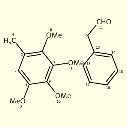 COc1cc(C)c(OC)c(OC)c1OC.O=CCc1ccccc1